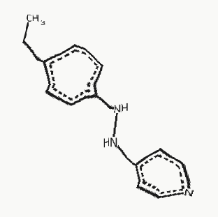 CCc1ccc(NNc2ccncc2)cc1